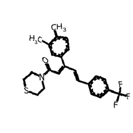 Cc1ccc(C(=C\C(=O)N2CCSCC2)/C=C/c2ccc(C(F)(F)F)cc2)cc1C